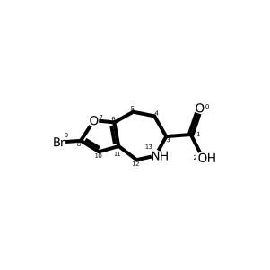 O=C(O)C1CCc2oc(Br)cc2CN1